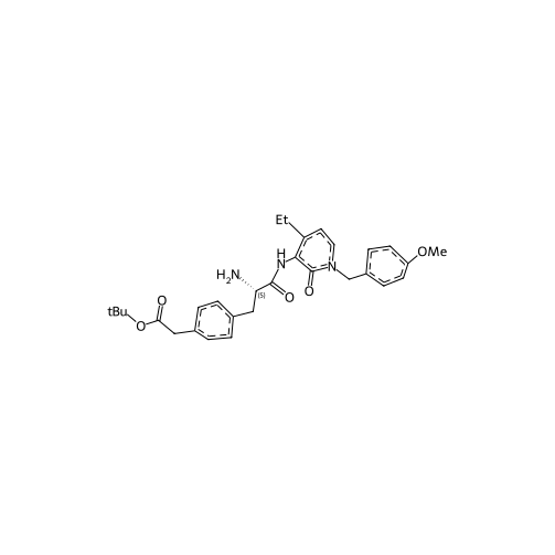 CCc1ccn(Cc2ccc(OC)cc2)c(=O)c1NC(=O)[C@@H](N)Cc1ccc(CC(=O)OC(C)(C)C)cc1